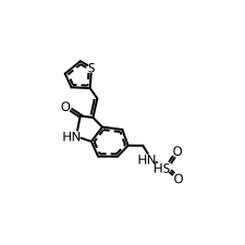 O=C1Nc2ccc(CN[SH](=O)=O)cc2/C1=C/c1cccs1